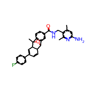 Cc1cc(N)nc(C)c1CNC(=O)c1ccc2c(c1)C1OC2(C)C2C=C(c3ccc(F)cc3)C=CC12